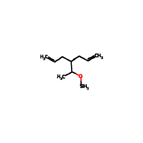 C=CCC(CC=C)C(C)O[SiH3]